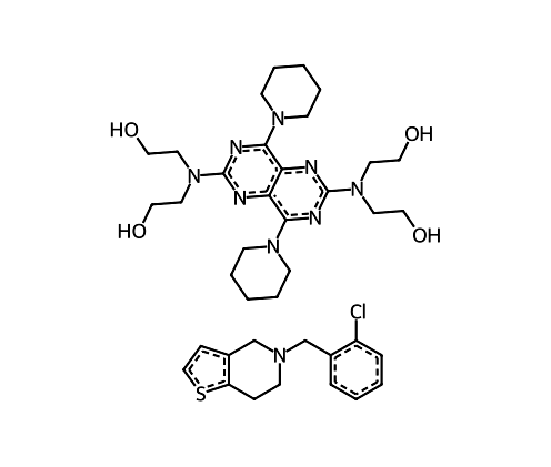 Clc1ccccc1CN1CCc2sccc2C1.OCCN(CCO)c1nc(N2CCCCC2)c2nc(N(CCO)CCO)nc(N3CCCCC3)c2n1